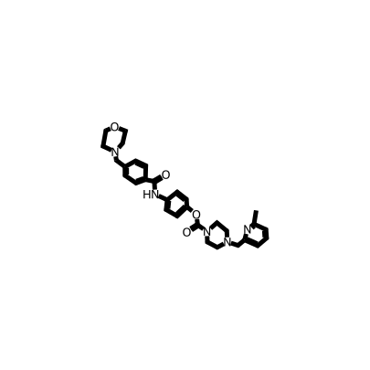 Cc1cccc(CN2CCN(C(=O)Oc3ccc(NC(=O)c4ccc(CN5CCOCC5)cc4)cc3)CC2)n1